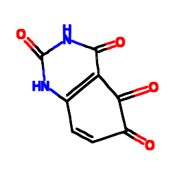 O=C1C=Cc2[nH]c(=O)[nH]c(=O)c2C1=O